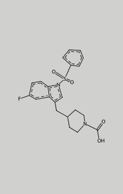 O=C(O)N1CCC(Cc2cn(S(=O)(=O)c3ccccc3)c3ccc(F)cc23)CC1